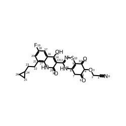 N#CCOC1C(=O)CC2=C(SN=C(c3c(O)c4cc(F)cc(CCC5CC5)c4[nH]c3=O)N2)C1=O